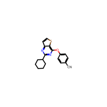 N#Cc1ccc(Oc2nc(C3CCCCC3)nc3ccsc23)cc1